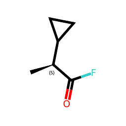 C[C@H](C(=O)F)C1CC1